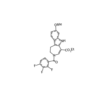 CCOC(=O)C1=CN(C(=O)c2ccc(F)c(F)c2F)CCc2c1[nH]c1cc(OC)ccc21